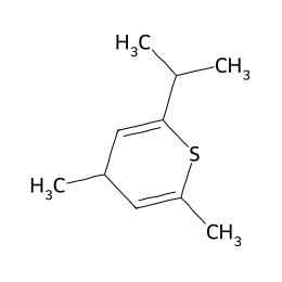 CC1=CC(C)C=C(C(C)C)S1